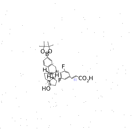 CC1(C)OB(c2ccc3c(c2)C[C@H](c2c(F)cc(/C=C/C(=O)O)cc2F)[C@@H]2[C@@H]3CC[C@]3(C)[C@@H](O)CC[C@@H]23)OC1(C)C